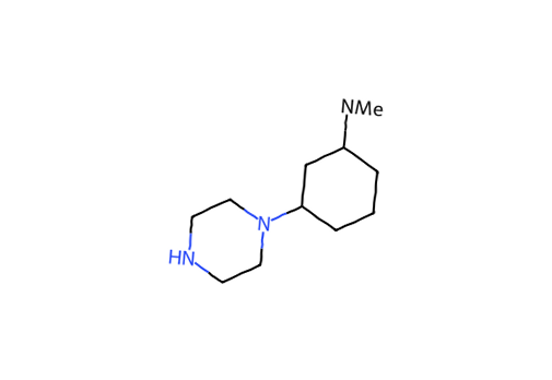 CNC1CCCC(N2CCNCC2)C1